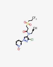 C#CCN(C(=O)CCS(=O)(=O)CCC(F)(F)F)c1cn(-c2ccc[n+]([O-])c2)nc1Cl